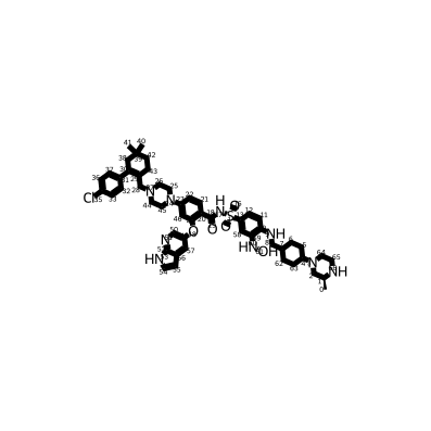 C[C@H]1CN(C2CCC(CNc3ccc(S(=O)(=O)NC(=O)c4ccc(N5CCN(CC6=C(c7ccc(Cl)cc7)CC(C)(C)CC6)CC5)cc4Oc4cnc5[nH]ccc5c4)cc3NO)CC2)CCN1